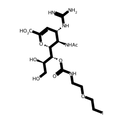 CC(=O)N[C@H]1[C@H]([C@H](OC(=O)NCCOCCI)[C@H](O)CO)OC(C(=O)O)=C[C@@H]1NC(=N)N